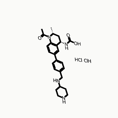 CC(=O)N1c2ccc(-c3ccc(CNC4CCNCC4)cc3)cc2[C@@H](NC(=O)O)C[C@H]1C.Cl.Cl